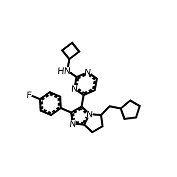 Fc1ccc(-c2nc3n(c2-c2ccnc(NC4CCC4)n2)C(CC2CCCC2)CC3)cc1